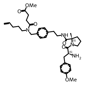 C=CCCCN(Cc1ccc(CCNC(=O)[C@]2(C)CCCN2C(=O)[C@@H](N)Cc2ccc(OC)cc2)cc1)C(=O)CCC(=O)OC